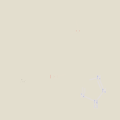 CC(=O)c1ccc(Cc2ccoc2C=CC(O)c2nn[nH]n2)cc1